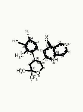 Cc1c([C@@H]2C[C@](C)(C(F)(F)F)OC[C@H]2c2cc(=O)c3cnccc3[nH]2)ccc(F)c1F